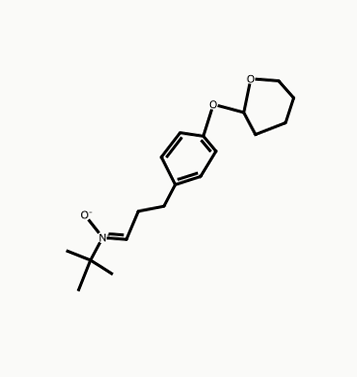 CC(C)(C)[N+]([O-])=CCCc1ccc(OC2CCCCO2)cc1